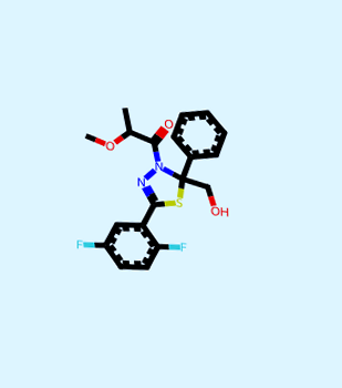 COC(C)C(=O)N1N=C(c2cc(F)ccc2F)SC1(CO)c1ccccc1